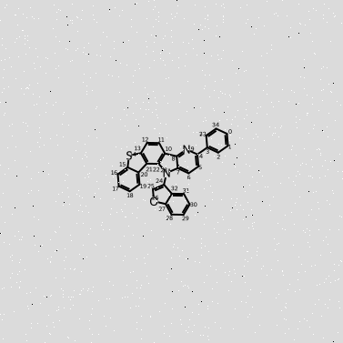 c1ccc(-c2ccc3c(n2)c2ccc4sc5ccccc5c4c2n3-c2coc3ccccc23)cc1